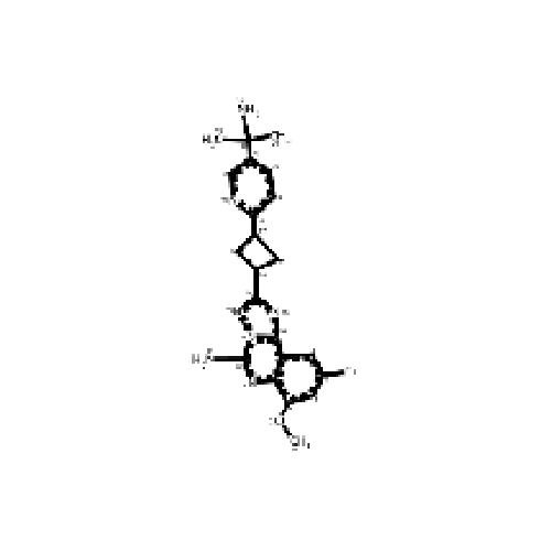 COc1cc(F)cc2c1nc(N)n1nc(C3CC(c4ccc(C(C)(C)N)cn4)C3)nc21